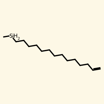 C=CCCCCCCCCCCCC[SiH2]C